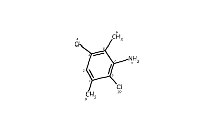 Cc1cc(Cl)c(C)c(N)c1Cl